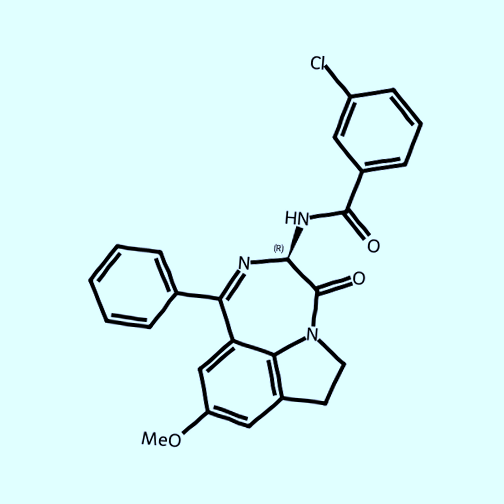 COc1cc2c3c(c1)C(c1ccccc1)=N[C@@H](NC(=O)c1cccc(Cl)c1)C(=O)N3CC2